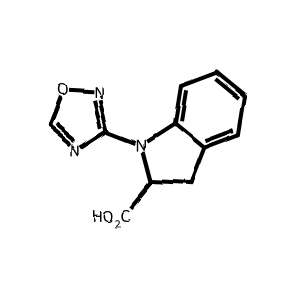 O=C(O)C1Cc2ccccc2N1c1ncon1